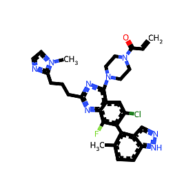 C=CC(=O)N1CCN(c2nc(CCCc3nccn3C)nc3c(F)c(-c4c(C)ccc5[nH]ncc45)c(Cl)cc23)CC1